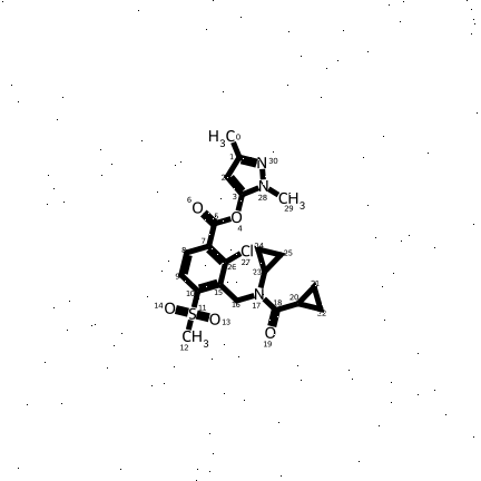 Cc1cc(OC(=O)c2ccc(S(C)(=O)=O)c(CN(C(=O)C3CC3)C3CC3)c2Cl)n(C)n1